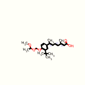 COC(C)OCOc1ccc(/C(C)=C/C=C/C(C)=C/C(=O)O)cc1C(C)(C)C